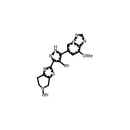 CCCN1CCc2nc(-c3n[nH]c(-c4cc(OC)c5ncnn5c4)c3C(C)C)sc2C1